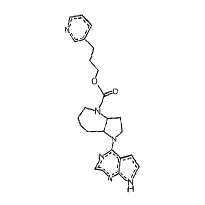 O=C(OCCCc1cccnc1)N1CCCC2C1CCN2c1ncnc2[nH]ccc12